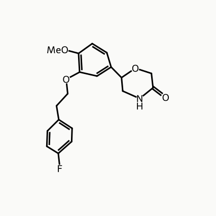 COc1ccc(C2CNC(=O)CO2)cc1OCCc1ccc(F)cc1